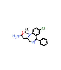 CN1C(=CC(N)=O)CN=C(c2ccccc2)c2cc(Cl)ccc21